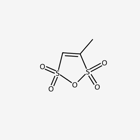 CC1=CS(=O)(=O)OS1(=O)=O